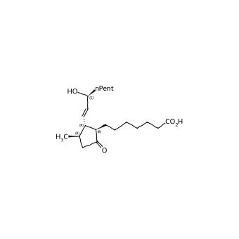 CCCCC[C@H](O)C=C[C@H]1[C@H](C)CC(=O)[C@@H]1CCCCCCC(=O)O